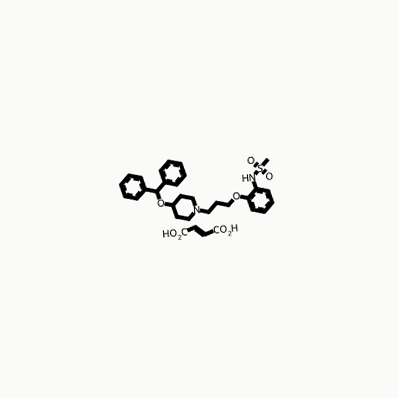 CS(=O)(=O)Nc1ccccc1OCCCN1CCC(OC(c2ccccc2)c2ccccc2)CC1.O=C(O)C=CC(=O)O